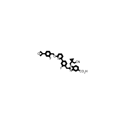 N#CCC1(Cn2c(Cc3ccc(-c4cccc(OCc5ccc(C6COC6)cc5F)n4)cc3F)nc3cc(C(=O)O)ccc32)CC1